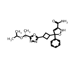 CC(C)O[C@H](C)c1nnc(C2CC(C3(c4ccccc4)C=C(C(N)=O)NO3)C2)o1